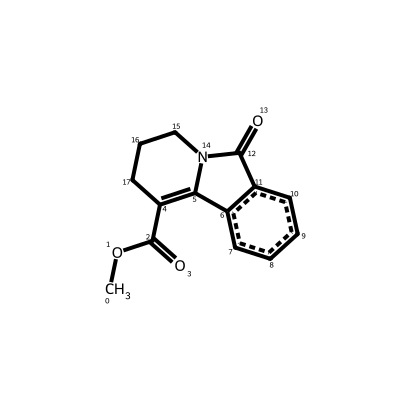 COC(=O)C1=C2c3ccccc3C(=O)N2CCC1